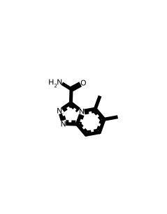 Cc1ccc2nnc(C(N)=O)n2c1C